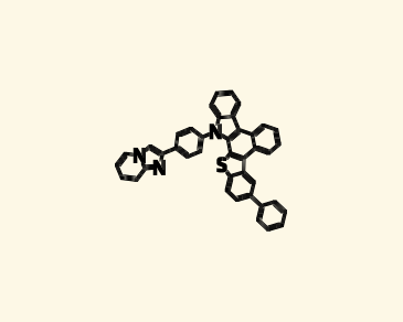 c1ccc(-c2ccc3sc4c(c3c2)c2ccccc2c2c3ccccc3n(-c3ccc(-c5cn6ccccc6n5)cc3)c42)cc1